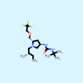 CC[C@H](C)CN1C[C@H](NC(=O)NC(C)(C)C)C[C@H]1COCC(F)(F)F